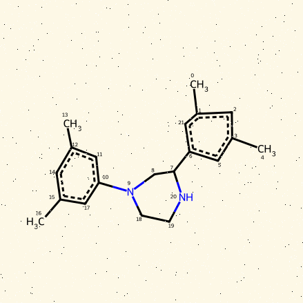 Cc1cc(C)cc(C2CN(c3cc(C)cc(C)c3)CCN2)c1